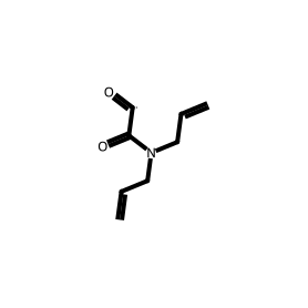 C=CCN(CC=C)C(=O)[C]=O